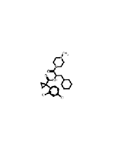 CN1CCN(C(=O)C(CC2CCCCC2)NC(=O)C2(c3ccc(Cl)cc3Cl)CC2)CC1